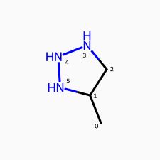 CC1CNNN1